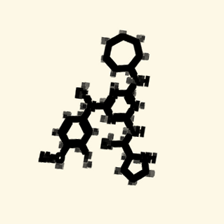 CCC(Nc1nc(NC2CCCCCC2)nc(N(CC)c2ccc(OC)c(F)c2)n1)C1CCCN1